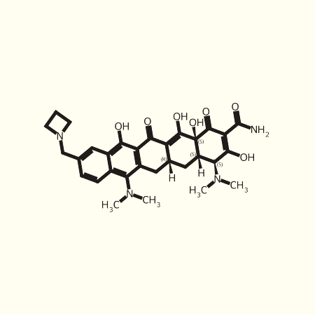 CN(C)c1c2c(c(O)c3cc(CN4CCC4)ccc13)C(=O)C1=C(O)[C@]3(O)C(=O)C(C(N)=O)=C(O)[C@@H](N(C)C)[C@@H]3C[C@@H]1C2